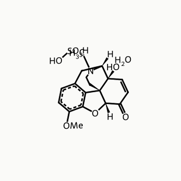 COc1ccc2c3c1O[C@H]1C(=O)C=C[C@@]4(O)[C@@H](C2)N(C)CC[C@]314.O.O=S(=O)(O)O